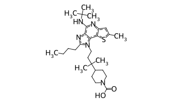 CCCCc1nc2c(NC(C)(C)C)nc3cc(C)sc3c2n1CCC(C)(C)C1CCN(C(=O)O)CC1